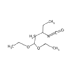 CCOC(OCC)[SiH2]C(CC)N=C=O